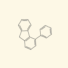 c1ccc(-c2cccc3c2-c2ccccc2C3)cc1